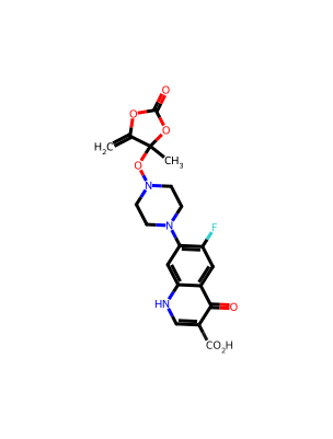 C=C1OC(=O)OC1(C)ON1CCN(c2cc3[nH]cc(C(=O)O)c(=O)c3cc2F)CC1